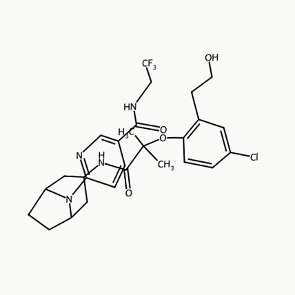 CC(C)(Oc1ccc(Cl)cc1CCO)C(=O)NC1CC2CCC(C1)N2c1ccc(C(=O)NCC(F)(F)F)cn1